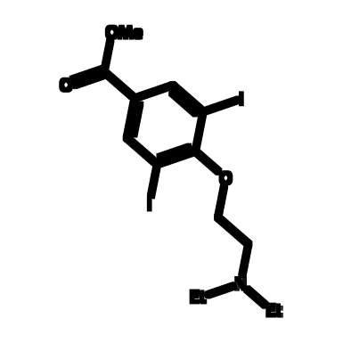 CCN(CC)CCOc1c(I)cc(C(=O)OC)cc1I